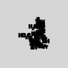 CC(=O)Nc1ccc(O)cc1.CCCC(=O)Nc1ccc(OCC(O)CNC(C)C)c(C(C)=O)c1.Nc1nc(NC2CC2)c2ncn([C@H]3C=C[C@@H](CO)C3)c2n1.O=C(O)CCCCC(S)CCS